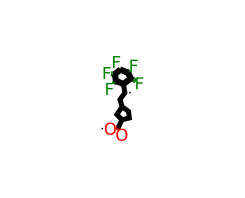 [O]C(=O)C1CCC(C[CH]c2c(F)c(F)c(F)c(F)c2F)C1